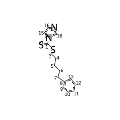 S=C(SCCCCCc1ccccc1)n1ccnc1